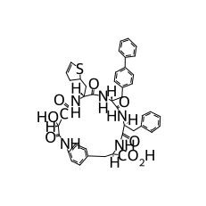 O=C1C[C@@H](O)C(=O)Nc2ccc(cc2)C[C@H](C(=O)O)NC(=O)[C@H](Cc2ccccc2)NC(=O)[C@@H](Cc2ccc(-c3ccccc3)cc2)NC(=O)[C@@H](CC2CC=CS2)N1